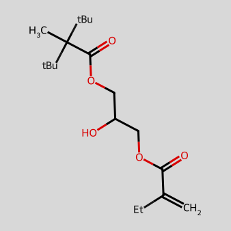 C=C(CC)C(=O)OCC(O)COC(=O)C(C)(C(C)(C)C)C(C)(C)C